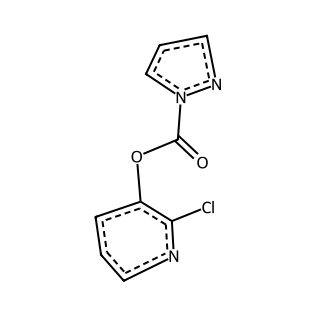 O=C(Oc1cccnc1Cl)n1cccn1